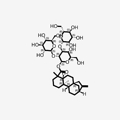 C=C1C[C@]23CC[C@H]4C(C)(C(=O)O[C@@H]5O[C@H](CO)[C@@H](O)[C@H](O[C@@H]6O[C@H](CO)[C@@H](O)[C@H](O)[C@H]6O)[C@H]5O[C@@H]5O[C@H](CO)[C@@H](O)[C@H](O)[C@H]5O)CCC[C@]4(C)[C@H]2CC[C@@H]1C3